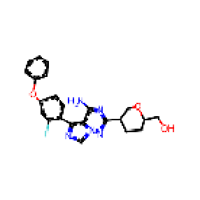 Nc1nc(C2CCC(CO)OC2)nn2cnc(-c3ccc(Oc4ccccc4)cc3F)c12